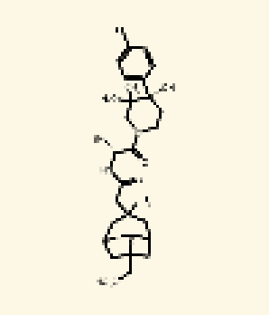 CC(C)[C@@H](NC(=O)CC1(C)CC2CC3C(C1)CC3(CC(=O)O)C2)C(=O)N1CC[C@](O)(c2ccc(Cl)cc2)C(C)(C)C1